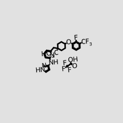 O=C(O)C(F)(F)F.O=C(O)C1(Cc2cccc(Nc3cc[nH]n3)n2)CCC(Oc2cccc(C(F)(F)F)c2F)CC1